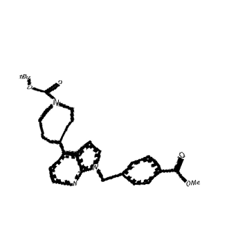 COC(=O)c1ccc(Cn2ccc3c(C4CCN(C(=O)OC(C)(C)C)CC4)ccnc32)cc1